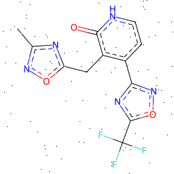 Cc1noc(Cc2c(-c3noc(C(F)(F)F)n3)cc[nH]c2=O)n1